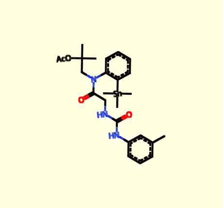 CC(=O)OC(C)(C)CN(C(=O)CNC(=O)Nc1cccc(C)c1)c1cccc[c]1[Sn]([CH3])([CH3])[CH3]